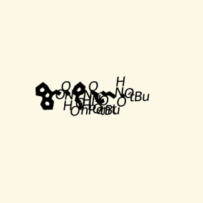 CCCCCC(=O)OCc1c(NC(=O)OCC2c3ccccc3-c3ccccc32)cccc1NC(=O)[C@H](CCCCNC(=O)OC(C)(C)C)NC(=O)OC(C)(C)C